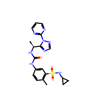 Cc1ccc(NC(=O)N[C@@H](C)c2ncnn2-c2ncccn2)cc1S(=O)(=O)NC1CC1